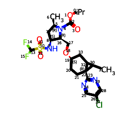 CC(C)OC(=O)N1[C@H](C)C[C@H](NS(=O)(=O)C(F)F)[C@@H]1CO[C@H]1CC[C@@]2(c3ncc(Cl)cn3)C(C)C2C1